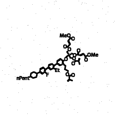 C=C(C)C(=O)OCCCc1cc(-c2ccc(-c3ccc(C4CCC(CCCCC)CC4)cc3F)cc2CC)ccc1OCC(COC(=O)/C=C/C(=O)OC)(COC(=O)/C=C/C(=O)OC)COC(=O)C(=C)C